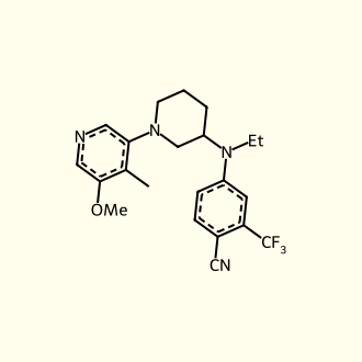 CCN(c1ccc(C#N)c(C(F)(F)F)c1)C1CCCN(c2cncc(OC)c2C)C1